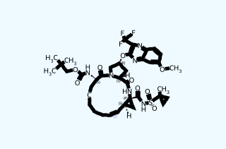 COc1ccc2nc(C(F)(F)F)c(O[C@@H]3C[C@H]4C(=O)N[C@]5(C(=O)NS(=O)(=O)C6(C)CC6)C[C@H]5/C=C\CCCCC[C@H](NC(=O)OCC(C)(C)C)C(=O)N4C3)nc2c1